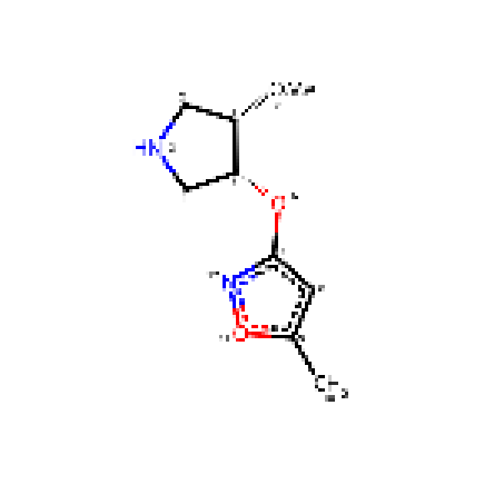 CO[C@H]1CNC[C@H]1Oc1cc(C)on1